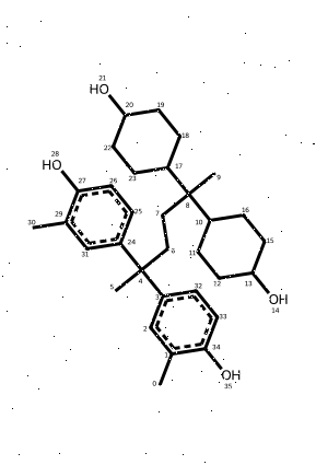 Cc1cc(C(C)(CCC(C)(C2CCC(O)CC2)C2CCC(O)CC2)c2ccc(O)c(C)c2)ccc1O